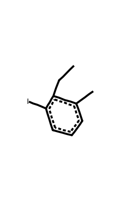 CCc1c(C)cccc1I